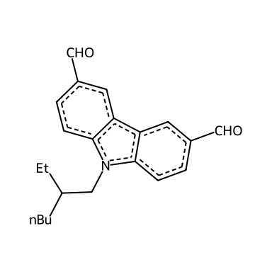 CCCCC(CC)Cn1c2ccc(C=O)cc2c2cc(C=O)ccc21